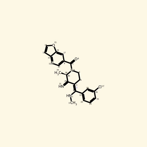 CN/C(=C1/CCN(C(=O)c2cnc3ccoc3c2)[C@H](C)C1=N)c1cccc(Cl)c1